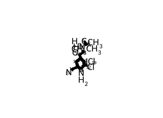 COC(CNC(C)(C)C)c1cc(Cl)c(N)c(C#N)c1.Cl